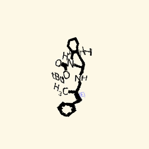 C/C(=C\c1ccccc1)CNCC1C[C@@H]2CCCC[C@@H]2N1C(=O)OC(C)(C)C